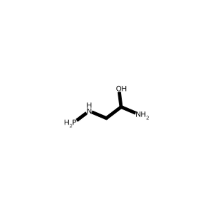 NC(O)CNP